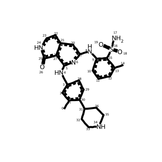 Cc1cc(Nc2nc(Nc3cccc(C)c3S(N)(=O)=O)cc3cc[nH]c(=O)c23)ccc1C1CCNCC1